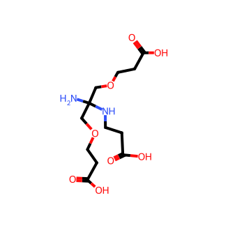 NC(COCCC(=O)O)(COCCC(=O)O)NCCC(=O)O